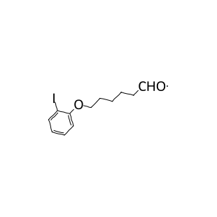 O=[C]CCCCCOc1ccccc1I